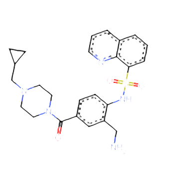 NCc1cc(C(=O)N2CCN(CC3CC3)CC2)ccc1NS(=O)(=O)c1cccc2cccnc12